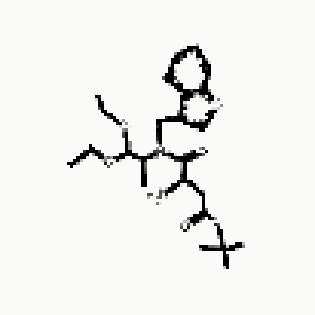 CCOC(OCC)C(C)N(Cc1csc2ccccc12)C(=O)C(N)CC(=O)OC(C)(C)C